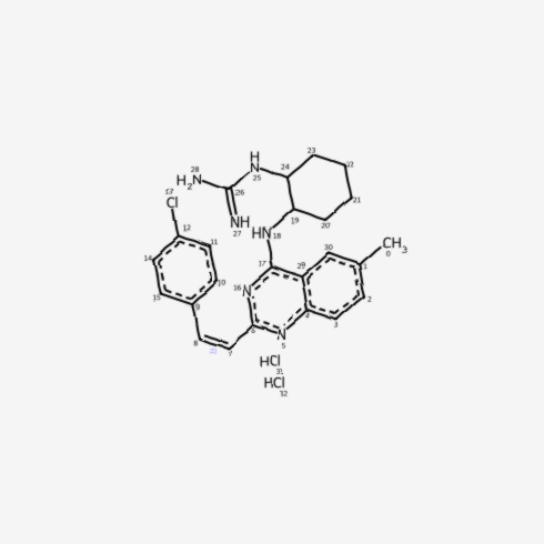 Cc1ccc2nc(/C=C\c3ccc(Cl)cc3)nc(NC3CCCCC3NC(=N)N)c2c1.Cl.Cl